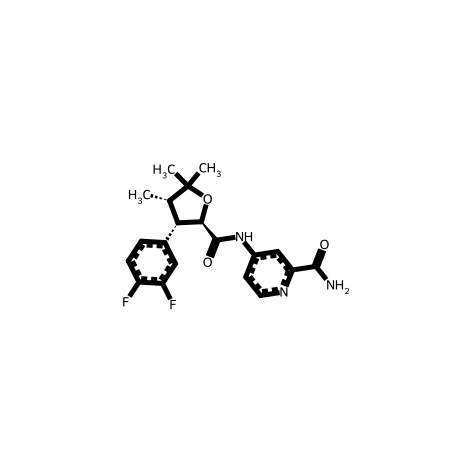 C[C@H]1[C@@H](c2ccc(F)c(F)c2)[C@H](C(=O)Nc2ccnc(C(N)=O)c2)OC1(C)C